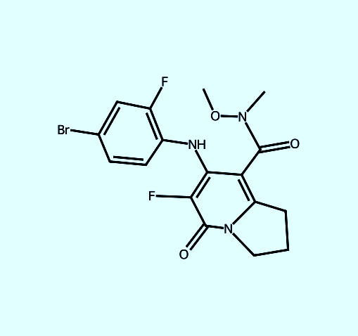 CON(C)C(=O)c1c(Nc2ccc(Br)cc2F)c(F)c(=O)n2c1CCC2